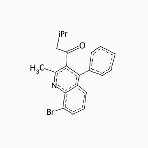 Cc1nc2c(Br)cccc2c(-c2ccccc2)c1C(=O)CC(C)C